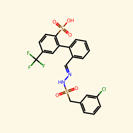 O=S(=O)(Cc1cccc(Cl)c1)NN=Cc1ccccc1-c1cc(C(F)(F)F)ccc1S(=O)(=O)O